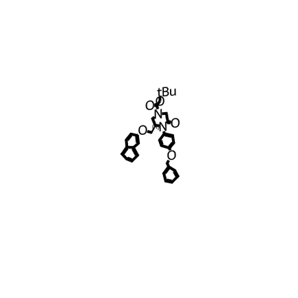 CC(C)(C)OC(=O)N1CC(=O)N(c2ccc(OCc3ccccc3)cc2)[C@@H](COc2ccc3ccccc3c2)C1